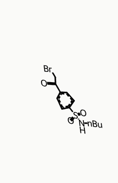 CCCCNS(=O)(=O)c1ccc(C(=O)CBr)cc1